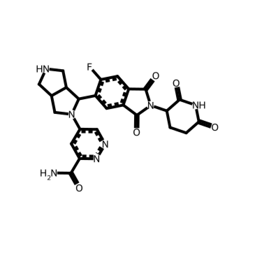 NC(=O)c1cc(N2CC3CNCC3C2c2cc3c(cc2F)C(=O)N(C2CCC(=O)NC2=O)C3=O)cnn1